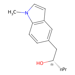 CCC[C@H](O)Cc1ccc2c(ccn2C)c1